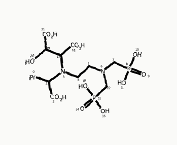 CC(C)C(C(=O)O)N(CCN(CP(=O)(O)O)CP(=O)(O)O)C(C(=O)O)C(O)C(=O)O